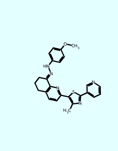 COc1ccc(N/N=C2\CCCc3ccc(-c4sc(-c5cccnc5)nc4C)nc32)cc1